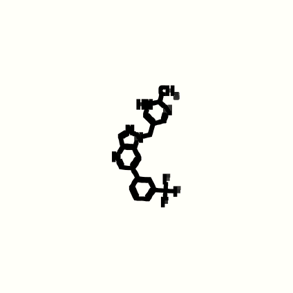 CC1N=CC(Cn2ncc3ncc(-c4cccc(C(F)(F)F)c4)cc32)=CN1